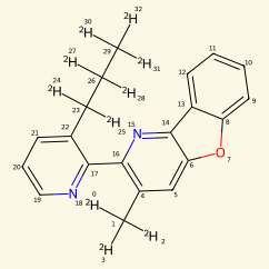 [2H]C([2H])([2H])c1cc2oc3ccccc3c2nc1-c1ncccc1C([2H])([2H])C([2H])([2H])C([2H])([2H])[2H]